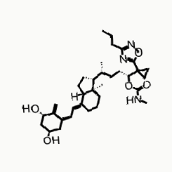 C=C1/C(=C\C=C2/CCC[C@]3(C)[C@@H]([C@H](C)CC[C@@H](OC(=O)NC)C4(c5nc(CCC)no5)CC4)CC[C@@H]23)C[C@@H](O)C[C@@H]1O